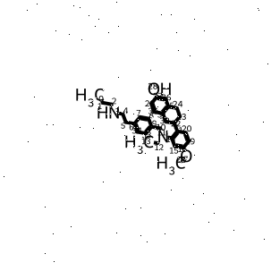 CCCNCCc1ccc(CN(CC)c2cc(OC)ccc2C2CCc3cc(O)ccc3C2)cc1